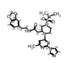 Cc1cc(N2CCN(S(=O)(=O)N(C)C)CC2CC(=O)NCCc2ccc3c(c2)OCO3)nc(-n2ccnc2)n1